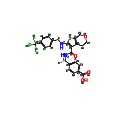 C[C@H](NC(=O)c1c(NCc2ccc(C(F)(F)F)cc2)sc2c1CCOC2)c1ccc(C(=O)O)cc1